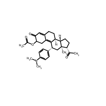 CC(=O)OC1CC2=C3[C@@H](CCC2=CC1=O)[C@@H]1CC[C@H](C(C)=O)[C@@]1(C)C[C@@H]3c1ccc(N(C)C)cc1